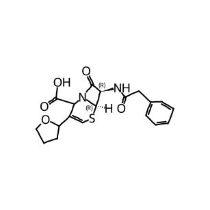 O=C(Cc1ccccc1)N[C@@H]1C(=O)N2C(C(=O)O)C(C3CCCO3)=CS[C@H]12